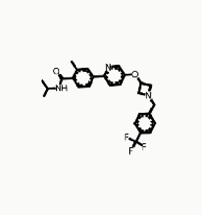 Cc1cc(-c2ccc(OC3CN(Cc4ccc(C(F)(F)F)cc4)C3)cn2)ccc1C(=O)NC(C)C